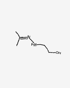 CC(C)=NNCCO